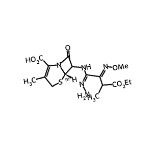 CCOC(=O)C(C)C(=NOC)C(=NN)NC1C(=O)N2C(C(=O)O)=C(C)CS[C@@H]12